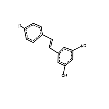 O=Nc1cc(O)cc(/C=C/c2ccc(Cl)cc2)c1